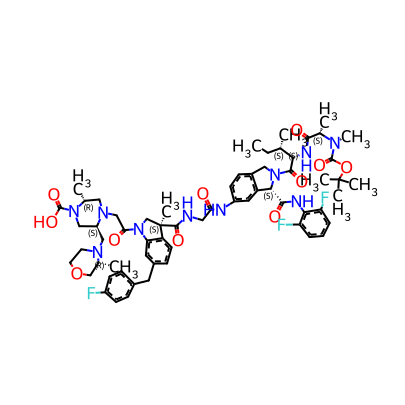 CC[C@H](C)[C@H](NC(=O)[C@H](C)N(C)C(=O)OC(C)(C)C)C(=O)N1Cc2ccc(NC(=O)CNC(=O)[C@]3(C)CN(C(=O)CN4C[C@@H](C)N(C(=O)O)C[C@@H]4CN4CCOC[C@H]4C)c4cc(Cc5ccc(F)cc5)ccc43)cc2[C@H]1C(=O)Nc1c(F)cccc1F